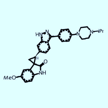 COc1ccc2c(c1)C1(C[C@H]1c1ccc3c(-c4ccc(N5CCN(C(C)C)CC5)cc4)n[nH]c3c1)C(=O)N2